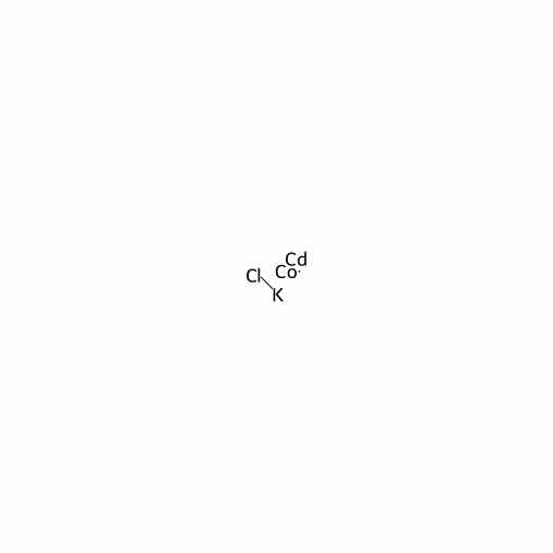 [Cd].[Cl][K].[Co]